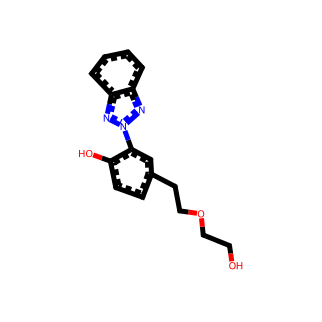 OCCOCCc1ccc(O)c(-n2nc3ccccc3n2)c1